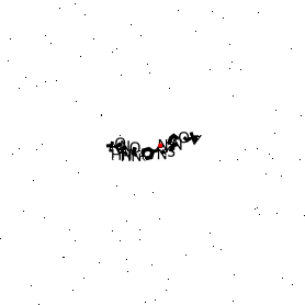 CC1(COc2ccc3c(n2)sc2nc(-c4ccc(NC(=O)Nc5cc(C(C)(C)C)on5)cc4)cn23)CC1